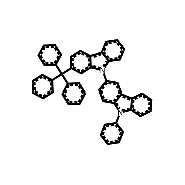 c1ccc(-n2c3ccccc3c3cc(-n4c5ccccc5c5ccc(C(c6ccccc6)(c6ccccc6)c6ccccc6)cc54)ccc32)cc1